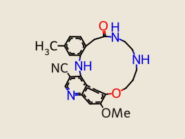 COc1cc2ncc(C#N)c3c2cc1OCCCNCCNC(=O)Cc1ccc(C)cc1N3